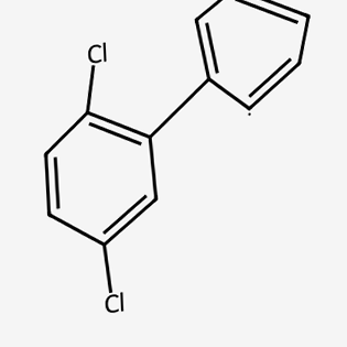 Clc1ccc(Cl)c(-c2[c]cccc2)c1